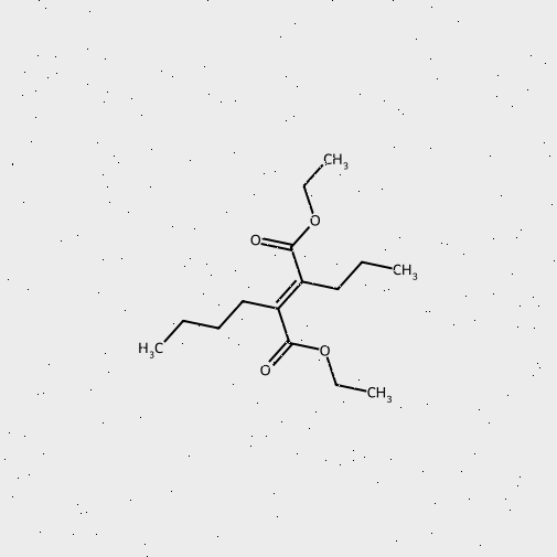 CCCCC(C(=O)OCC)=C(CCC)C(=O)OCC